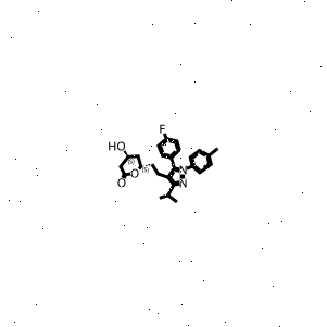 Cc1ccc(-n2nc(C(C)C)c(CC[C@H]3C[C@H](O)CC(=O)O3)c2-c2ccc(F)cc2)cc1